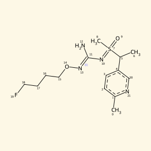 Cc1ccc(C(C)S(C)(=O)=N/C(N)=N/OCCCCF)cn1